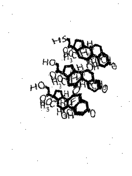 C[C@]12C=CC(=O)C=C1CC[C@H]1[C@@H]3CC[C@](O)(C(=O)CO)[C@@]3(C)C[C@H](O)[C@@]12F.C[C@]12CCC(=O)C=C1CC[C@@H]1[C@@H]2C(=O)C[C@@]2(C)[C@H]1CC[C@]2(O)C(=O)CO.C[C@]12CCC(=O)C=C1CC[C@@H]1[C@@H]2[C@@H](O)C[C@@]2(C)[C@H]1CC[C@]2(O)C(=O)CS